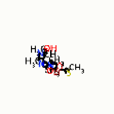 Cc1cc(COc2cc(C)n(-c3cc(-c4cc(C(C)(C)O)ncc4C)ncc3C)c(=O)c2Br)cs1